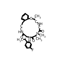 CC(c1ccc(F)cc1)[C@H]1NC(=O)[C@@H](C)N(C)C(=O)CNC[C@@H](C)Oc2ccccc2CCCNC1=O